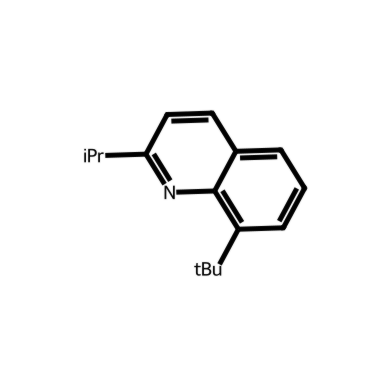 CC(C)c1ccc2cccc(C(C)(C)C)c2n1